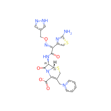 Nc1nc(C(=NOCc2cn[nH]c2)C(=O)N[C@@H]2C(=O)N3C(C(=O)[O-])=C(C[n+]4ccccc4)CS[C@@H]23)cs1